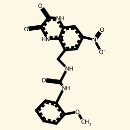 COc1ccccc1NC(=O)NCc1cc([N+](=O)[O-])cc2[nH]c(=O)c(=O)[nH]c12